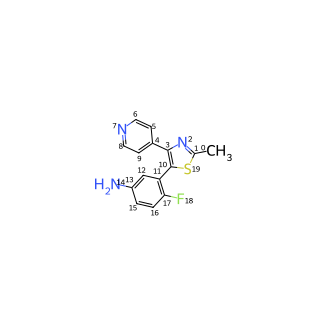 Cc1nc(-c2ccncc2)c(-c2cc(N)ccc2F)s1